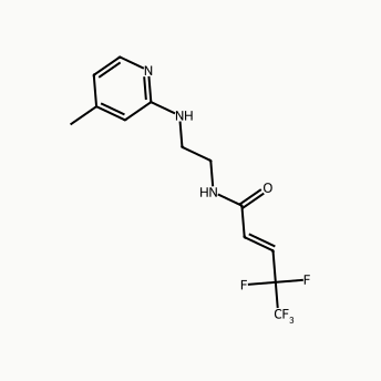 Cc1ccnc(NCCNC(=O)C=CC(F)(F)C(F)(F)F)c1